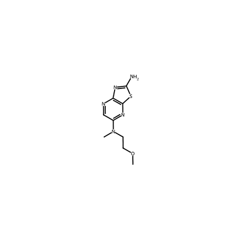 COCCN(C)c1cnc2nc(N)sc2n1